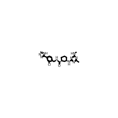 CNc1nc(C)nc(N[C@@H]2CCC[C@H](C(=O)NCc3ccc(-c4nnn[nH]4)cc3Cl)C2)n1